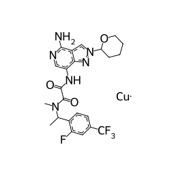 CC(c1ccc(C(F)(F)F)cc1F)N(C)C(=O)C(=O)Nc1cnc(N)c2cn(C3CCCCO3)nc12.[Cu]